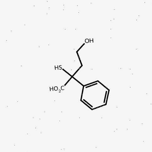 O=C(O)C(S)(CCO)c1ccccc1